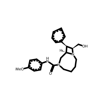 COc1ccc(NC(=O)N2CCCCN3[C@H](CO)[C@H](c4ccccc4)[C@@H]3C2)cc1